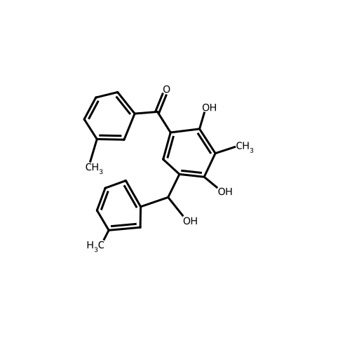 Cc1cccc(C(=O)c2cc(C(O)c3cccc(C)c3)c(O)c(C)c2O)c1